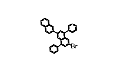 Brc1cc(-c2ccccc2)c2cc(-c3ccc4ccccc4c3)cc(-c3ccccc3)c2c1